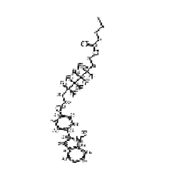 CCCCC(=O)OCCC(F)(F)C(F)(F)C(F)(F)C(F)(F)CCOc1ccc(-c2cc3ccccc3n2C)cc1